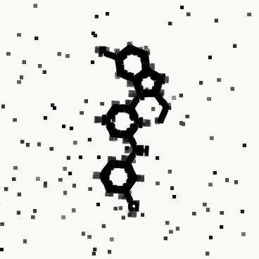 CCc1nc2ccc(F)cc2n1-c1cncc(Nc2cccc(Cl)c2)n1